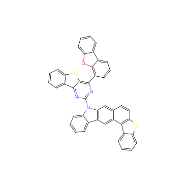 c1ccc2c(c1)oc1c(-c3nc(-n4c5ccccc5c5cc6c(ccc7sc8ccccc8c76)cc54)nc4c3sc3ccccc34)cccc12